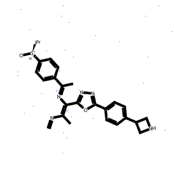 C=N/C(C)=C(\N=C(/C)c1ccc([S@@+]([O-])C(C)C)cc1)c1nnc(-c2ccc(C3CNC3)cc2)o1